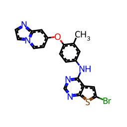 Cc1cc(Nc2ncnc3sc(Br)cc23)ccc1Oc1ccn2ccnc2c1